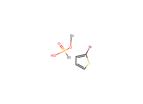 Brc1cccs1.CCOP(=O)(O)CC